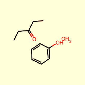 CCC(=O)CC.O.Oc1ccccc1